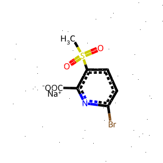 CS(=O)(=O)c1ccc(Br)nc1C(=O)[O-].[Na+]